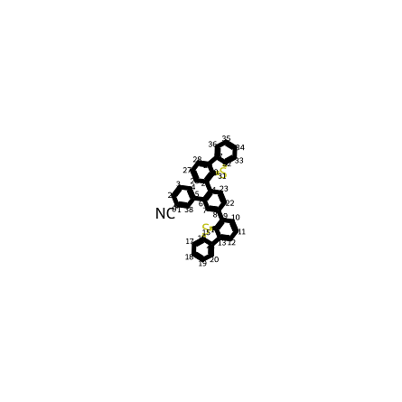 N#Cc1cccc(-c2cc(-c3cccc4c3sc3ccccc34)ccc2-c2cccc3c2sc2ccccc23)c1